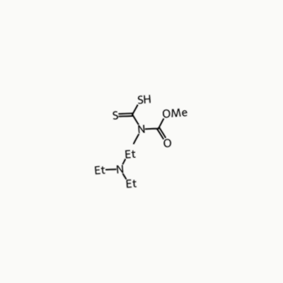 CCN(CC)CC.COC(=O)N(C)C(=S)S